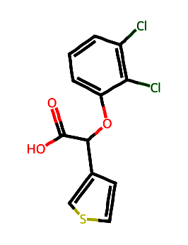 O=C(O)C(Oc1cccc(Cl)c1Cl)c1ccsc1